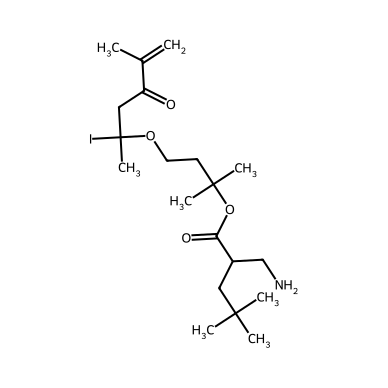 C=C(C)C(=O)CC(C)(I)OCCC(C)(C)OC(=O)C(CN)CC(C)(C)C